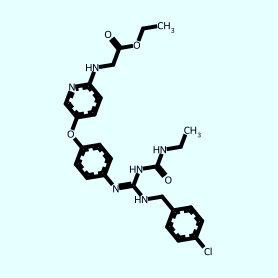 CCNC(=O)N/C(=N\c1ccc(Oc2ccc(NCC(=O)OCC)nc2)cc1)NCc1ccc(Cl)cc1